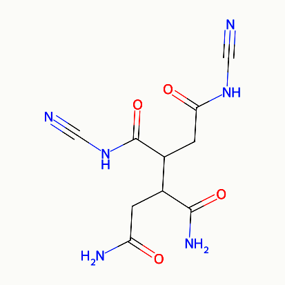 N#CNC(=O)CC(C(=O)NC#N)C(CC(N)=O)C(N)=O